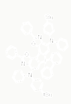 CC(C)(C)c1ccc(N(c2ccccc2)c2cc3c(c4oc(-c5ccccc5)nc24)-c2c(cc(N(c4ccccc4)c4ccc(C(C)(C)C)cc4)c4nc(-c5ccccc5)oc24)C32c3ccccc3-c3ccccc32)cc1